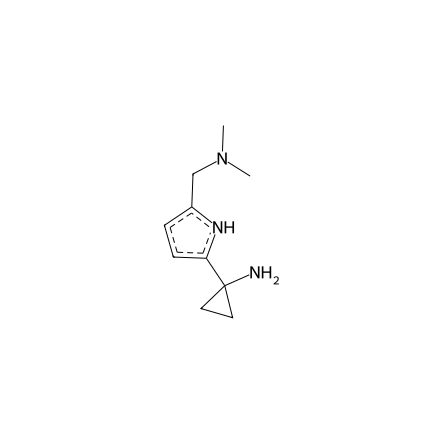 CN(C)Cc1ccc(C2(N)CC2)[nH]1